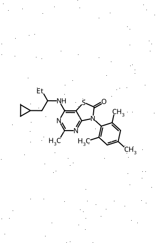 CCC(CC1CC1)Nc1nc(C)nc2c1sc(=O)n2-c1c(C)cc(C)cc1C